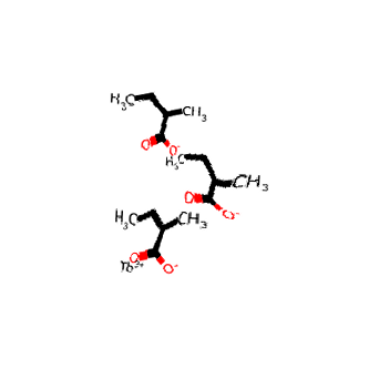 CCC(C)C(=O)[O-].CCC(C)C(=O)[O-].CCC(C)C(=O)[O-].[Tb+3]